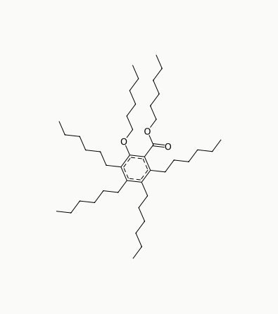 CCCCCCOC(=O)c1c(CCCCCC)c(CCCCCC)c(CCCCCC)c(CCCCCC)c1OCCCCCC